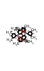 COc1cc(P(c2cc(C)cc(C)c2)c2cc(C)cc(C)c2)c(-c2c(P(c3cc(C)cc(C)c3)c3cc(C)cc(C)c3)cc(OC)c3c2OCO3)c2c1OCO2